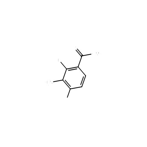 COC(=O)c1ccc(F)c(N)c1F